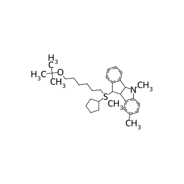 Cc1ccc2c(c1)C1C(c3ccccc3C1S(C)(CCCCCCOC(C)(C)C)C1CCCC1)N2C